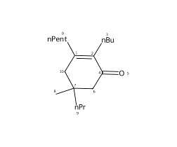 CCCCCC1=C(CCCC)C(=O)CC(C)(CCC)C1